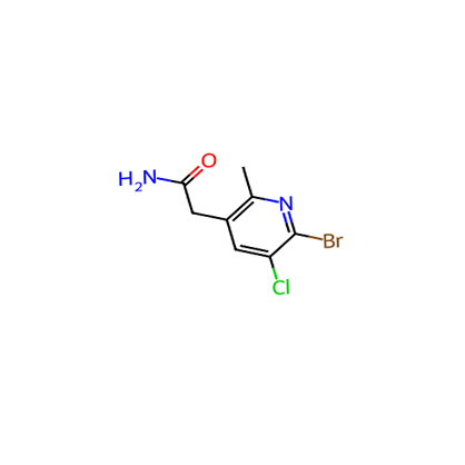 Cc1nc(Br)c(Cl)cc1CC(N)=O